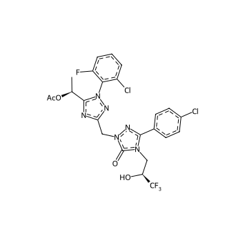 CC(=O)O[C@@H](C)c1nc(Cn2nc(-c3ccc(Cl)cc3)n(C[C@H](O)C(F)(F)F)c2=O)nn1-c1c(F)cccc1Cl